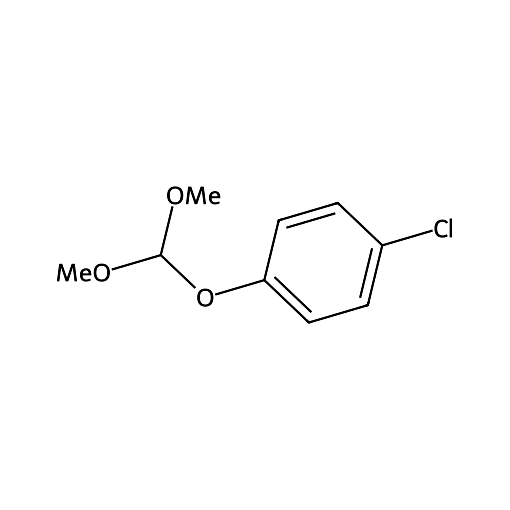 COC(OC)Oc1ccc(Cl)cc1